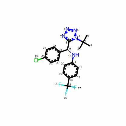 CC(C)(C)n1nnnc1[C@H](Nc1ccc(C(F)(F)F)cc1)c1ccc(Cl)cc1